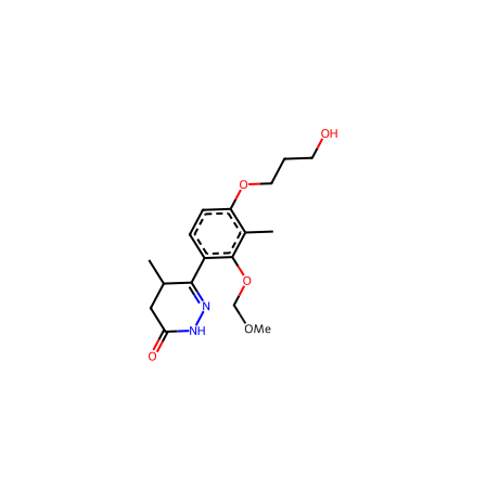 COCOc1c(C2=NNC(=O)CC2C)ccc(OCCCO)c1C